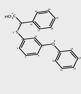 O=C(O)C(Sc1cccc(Oc2ccccc2)c1)c1ccccc1